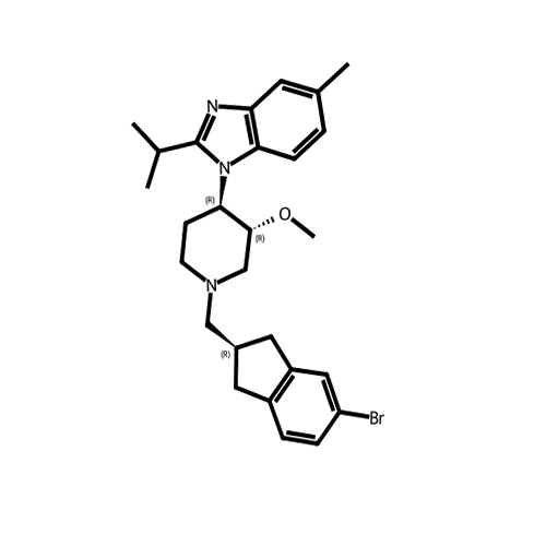 CO[C@@H]1CN(C[C@@H]2Cc3ccc(Br)cc3C2)CC[C@H]1n1c(C(C)C)nc2cc(C)ccc21